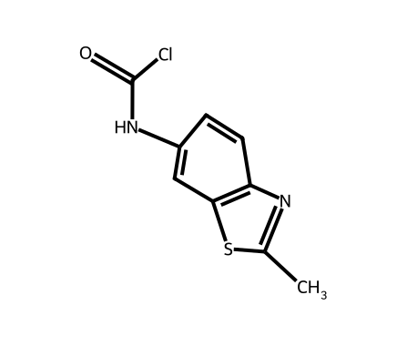 Cc1nc2ccc(NC(=O)Cl)cc2s1